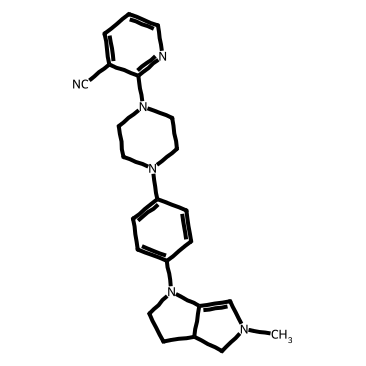 CN1C=C2C(CCN2c2ccc(N3CCN(c4ncccc4C#N)CC3)cc2)C1